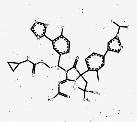 CC(C)(C)CC1(c2ccc(-c3cnn(C(F)F)c3)cc2F)NC(=NC(=O)O)N([C@H](COC(=O)NC2CC2)c2ccc(Cl)c(-c3ncn[nH]3)c2)C1=O